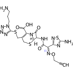 C#CCO/N=C(/C(=O)NC1C(=O)N2C(C(=O)O)=C(CSc3nnnn3CCCN)CS[C@H]12)c1nsc(N)n1